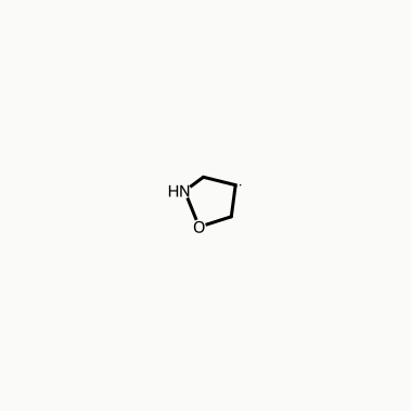 [CH]1CNOC1